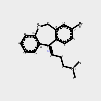 CN(C)CC/C=C1\c2ccc(Br)cc2COc2ccccc21